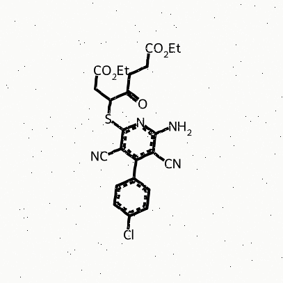 CCOC(=O)CCC(=O)C(CC(=O)OCC)Sc1nc(N)c(C#N)c(-c2ccc(Cl)cc2)c1C#N